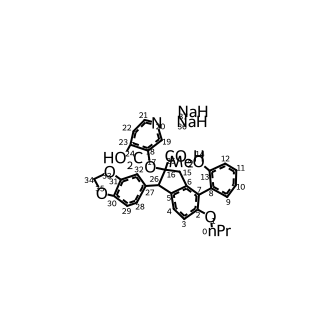 CCCOc1ccc2c(c1-c1ccccc1OC)CC(Oc1cnccc1C(=O)O)(C(=O)O)C2c1ccc2c(c1)OCO2.[NaH].[NaH]